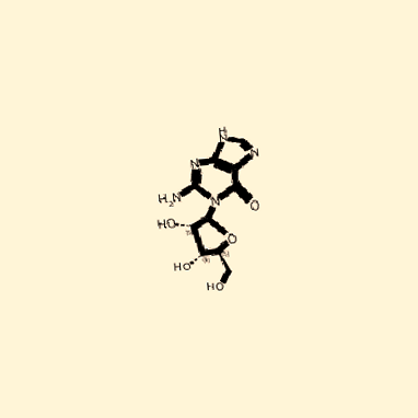 Nc1nc2[nH]cnc2c(=O)n1C1O[C@@H](CO)[C@H](O)[C@@H]1O